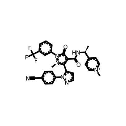 C[C@H](NC(=O)c1c(-c2ccnn2-c2ccc(C#N)cc2)n(C)n(-c2cccc(C(F)(F)F)c2)c1=O)c1cc[n+](C)cc1